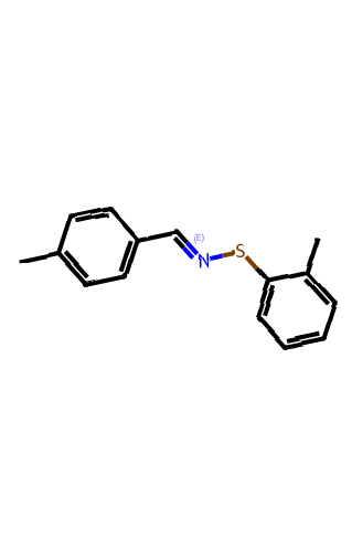 Cc1ccc(/C=N/Sc2ccccc2C)cc1